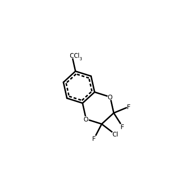 FC1(F)Oc2cc(C(Cl)(Cl)Cl)ccc2OC1(F)Cl